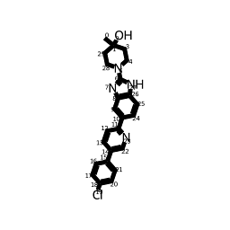 CC1(O)CCN(c2nc3cc(-c4ccc(-c5ccc(Cl)cc5)cn4)ccc3[nH]2)CC1